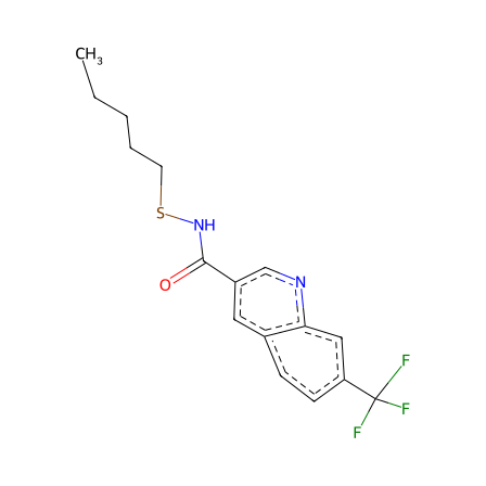 CCCCCSNC(=O)c1cnc2cc(C(F)(F)F)ccc2c1